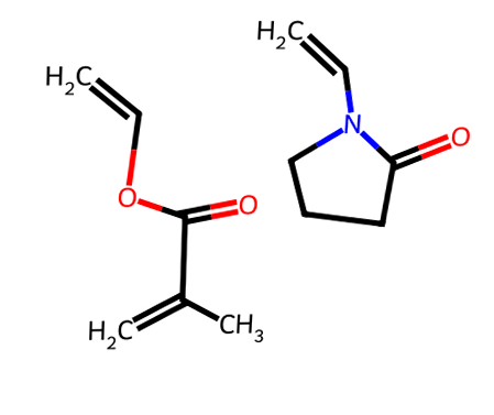 C=CN1CCCC1=O.C=COC(=O)C(=C)C